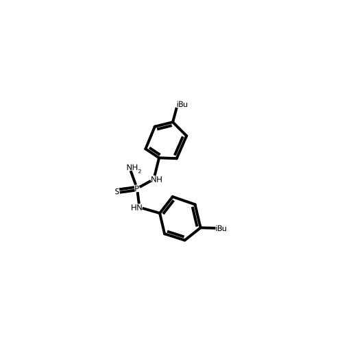 CCC(C)c1ccc(NP(N)(=S)Nc2ccc(C(C)CC)cc2)cc1